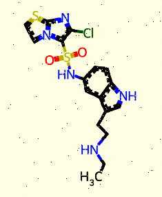 CCNCCc1c[nH]c2ccc(NS(=O)(=O)c3c(Cl)nc4sccn34)cc12